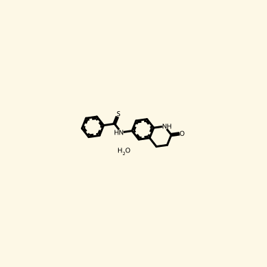 O.O=C1CCc2cc(NC(=S)c3ccccc3)ccc2N1